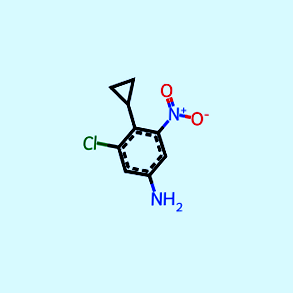 Nc1cc(Cl)c(C2CC2)c([N+](=O)[O-])c1